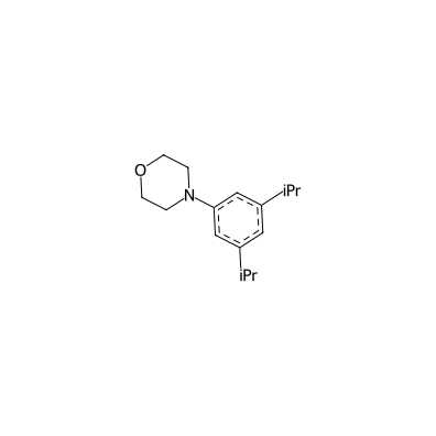 CC(C)c1cc(C(C)C)cc(N2CCOCC2)c1